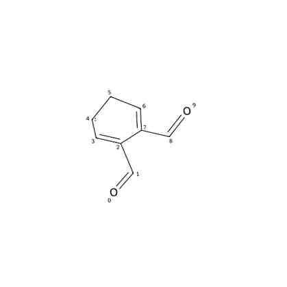 O=CC1=C[C]CC=C1C=O